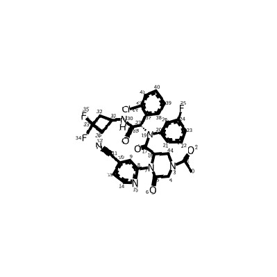 CC(=O)N1CC(=O)N(c2cc(C#N)ccn2)C(C(=O)N(c2cccc(F)c2)[C@H](C(=O)NC2CC(F)(F)C2)c2ccccc2Cl)C1